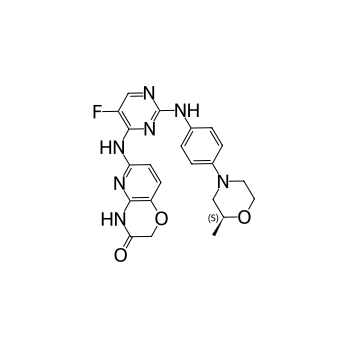 C[C@H]1CN(c2ccc(Nc3ncc(F)c(Nc4ccc5c(n4)NC(=O)CO5)n3)cc2)CCO1